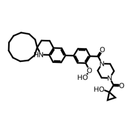 O=C(c1ccc(-c2ccc3c(c2)CCC2(CCCCCCCCCC2)N3)cc1OO)N1CCN(C(=O)C2(O)CC2)CC1